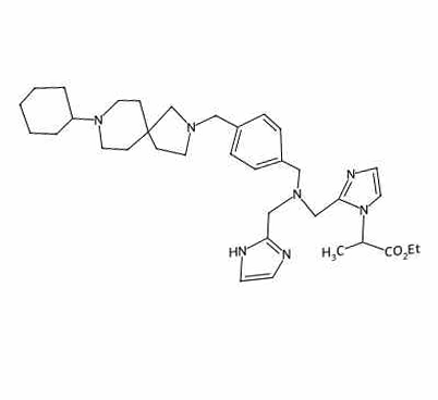 CCOC(=O)C(C)n1ccnc1CN(Cc1ccc(CN2CCC3(CCN(C4CCCCC4)CC3)C2)cc1)Cc1ncc[nH]1